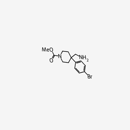 COC(=O)N1CCC(CN)(c2ccc(Br)cc2)CC1